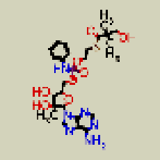 CC(C)(CO)C(=O)SCCOP(=O)(Nc1ccccc1)OC[C@H]1O[C@@H](n2cnc3c(N)ncnc32)[C@](C)(O)[C@@H]1O